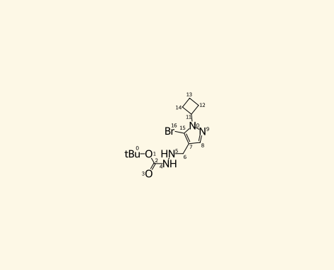 CC(C)(C)OC(=O)NNCc1cnn(C2CCC2)c1Br